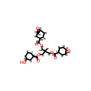 CC(COC(=O)C1CCCC(O)C1)(COC(=O)C1CCC2OC2C1)COC(=O)C1CCC2(C)OC2C1